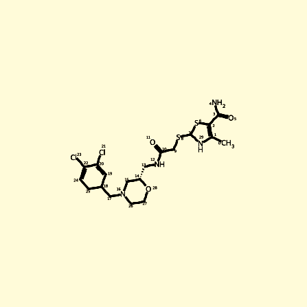 CC1=C(C(N)=O)SC(SCC(=O)NC[C@H]2CN(CC3C=C(Cl)C(Cl)=CC3)CCO2)N1